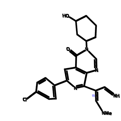 CN/C=C(\C=N)c1nc(-c2ccc(Cl)cc2)cc2c(=O)n(C3CCCC(O)C3)cnc12